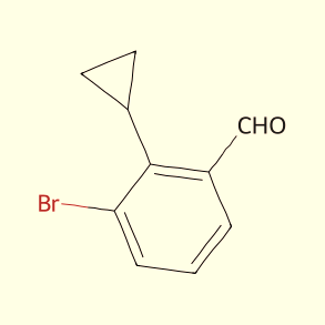 O=Cc1cccc(Br)c1C1CC1